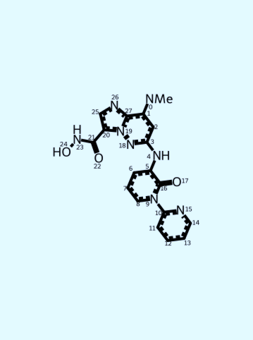 CNc1cc(Nc2cccn(-c3ccccn3)c2=O)nn2c(C(=O)NO)cnc12